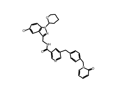 O=C(NCc1nn(C2CCCCO2)c2ccc(Cl)cc12)c1cncc(Cc2ccc(Cn3ccccc3=O)cc2)c1